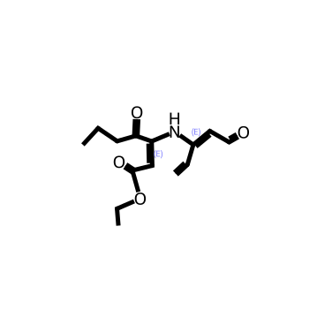 C=C/C(=C\C=O)N/C(=C/C(=O)OCC)C(=O)CCC